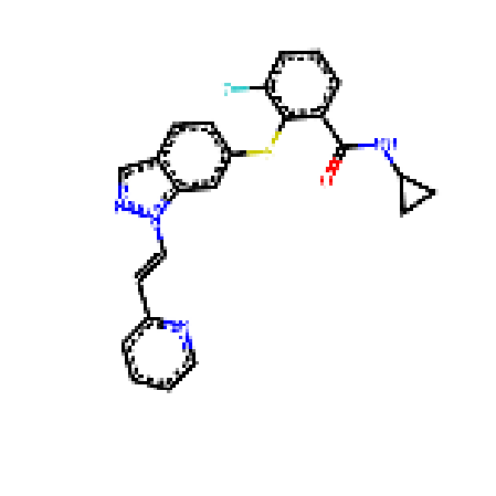 O=C(NC1CC1)c1cccc(F)c1Sc1ccc2cnn(C=Cc3ccccn3)c2c1